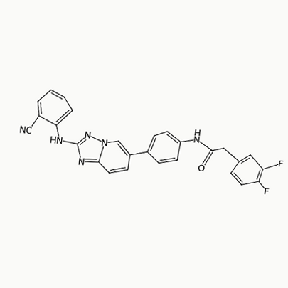 N#Cc1ccccc1Nc1nc2ccc(-c3ccc(NC(=O)Cc4ccc(F)c(F)c4)cc3)cn2n1